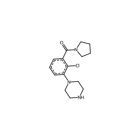 O=C(c1cccc(N2CCNCC2)c1Cl)N1CCCC1